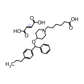 CCCc1ccc(C(OC2CCN(CCCCCC(=O)O)CC2)c2ccccc2)cc1.O=C(O)/C=C/C(=O)O